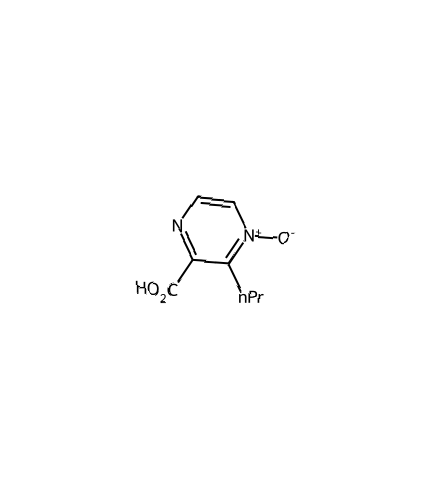 CCCc1c(C(=O)O)ncc[n+]1[O-]